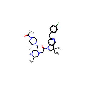 CC(=O)N1CCN(C[C@H]2CN[C@H](C)CN2CC(=O)N2CC(C)(C)c3cnc(Cc4ccc(F)cc4)cc32)[C@H](C)C1